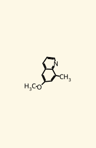 COc1cc(C)c2ncccc2c1